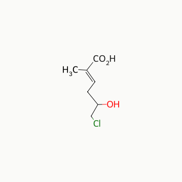 CC(=CCC(O)CCl)C(=O)O